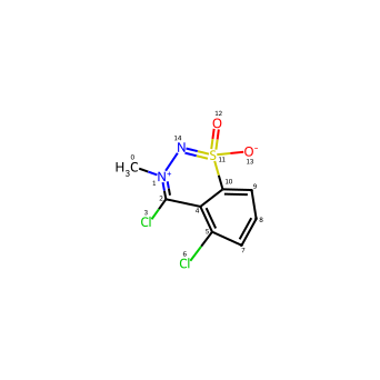 C[N+]1=C(Cl)c2c(Cl)cccc2S(=O)([O-])=N1